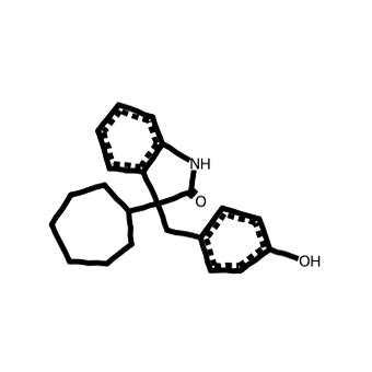 O=C1Nc2ccccc2C1(Cc1ccc(O)cc1)C1CCCCCC1